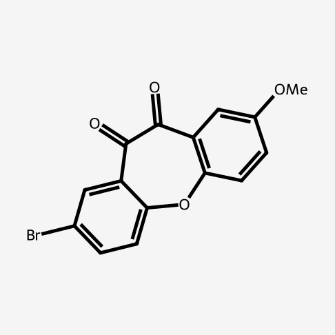 COc1ccc2oc3ccc(Br)cc3c(=O)c(=O)c2c1